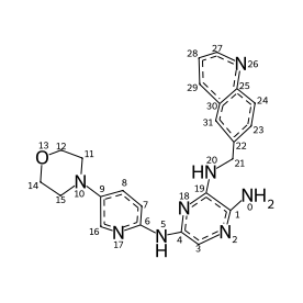 Nc1ncc(Nc2ccc(N3CCOCC3)cn2)nc1NCc1ccc2ncccc2c1